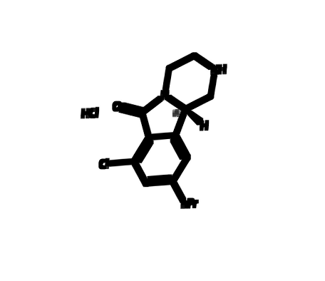 CCCc1cc(Cl)c2c(c1)[C@H]1CNCCN1C2=O.Cl